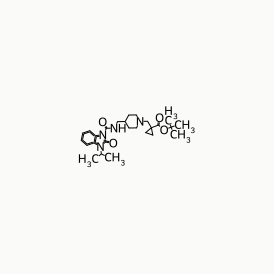 CC(C)n1c(=O)n(C(=O)NCC2CCN(CC3(C(=O)OC(C)(C)C)CC3)CC2)c2ccccc21